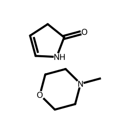 CN1CCOCC1.O=C1CC=CN1